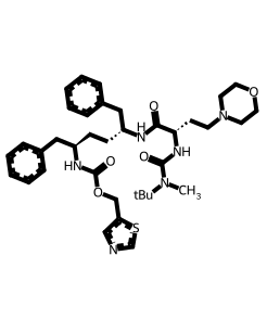 CN(C(=O)N[C@@H](CCN1CCOCC1)C(=O)N[C@H](CC[C@H](Cc1ccccc1)NC(=O)OCc1cncs1)Cc1ccccc1)C(C)(C)C